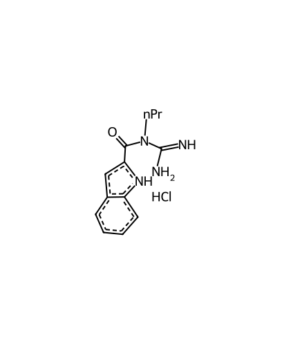 CCCN(C(=N)N)C(=O)c1cc2ccccc2[nH]1.Cl